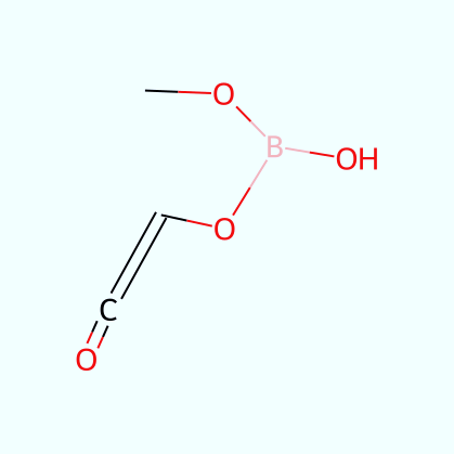 COB(O)OC=C=O